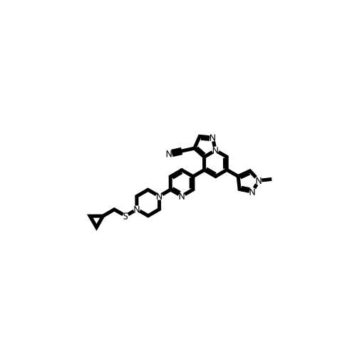 Cn1cc(-c2cc(-c3ccc(N4CCN(SCC5CC5)CC4)nc3)c3c(C#N)cnn3c2)cn1